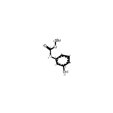 CC(C)(C)OC(=O)Oc1cccc(O)c1